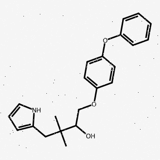 CC(C)(Cc1ccc[nH]1)C(O)COc1ccc(Oc2ccccc2)cc1